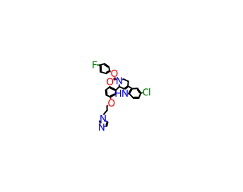 O=C(Oc1ccc(F)cc1)N1CCc2c([nH]c3ccc(Cl)cc23)C1c1cccc(OCCCn2ccnc2)c1